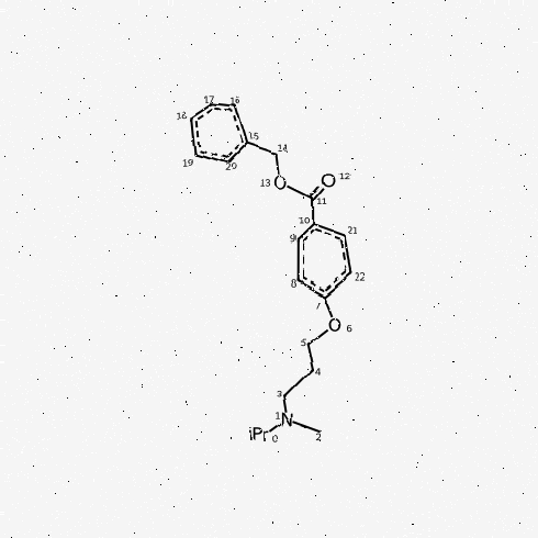 CC(C)N(C)CCCOc1ccc(C(=O)OCc2ccccc2)cc1